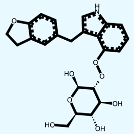 OC[C@H]1O[C@@H](O)[C@H](OOc2cccc3[nH]cc(Cc4ccc5c(c4)CCO5)c23)[C@@H](O)[C@@H]1O